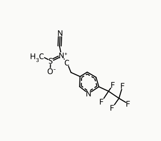 CS([O-])=[N+](C#N)CCc1ccc(C(F)(F)C(F)(F)F)nc1